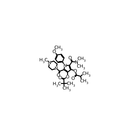 COc1ccc(-n2c(C(=O)N(C)C)c(OC(=O)C(C)C)c(OC(=O)C(C)(C)C)c2C(=O)N2CCN(C)CC2)cc1